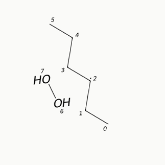 CC[CH]CCC.OO